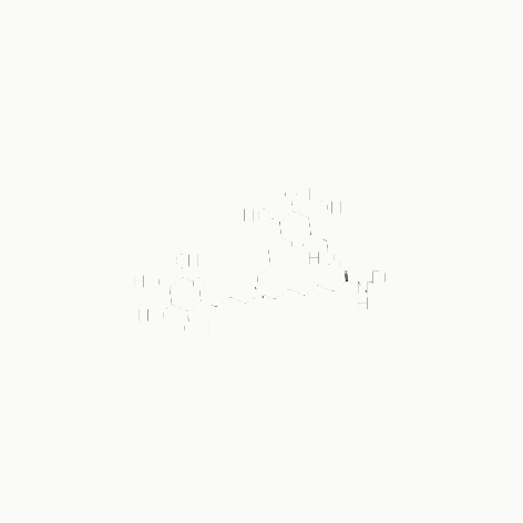 CCNC(=O)CCCCCN(CCC[C@@H]1O[C@@H](C)[C@@H](O)[C@H](O)[C@@H]1O)CCC[C@H]1O[C@H](CO)[C@@H](O)[C@H](O)[C@@H]1O